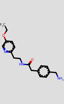 NCc1ccc(CC(=O)NCCc2ccc(OCC(F)(F)F)cn2)cc1